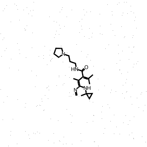 C=N/C(NC1(C)CC1)=C(\C)C(C(=O)NCCCN1CCCC1)=C(C)C